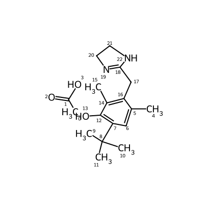 CC(=O)O.Cc1cc(C(C)(C)C)c(O)c(C)c1CC1=NCCN1